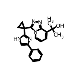 CC(C)(O)c1cccn2c(C3(c4nc(-c5ccccc5)c[nH]4)CC3)nnc12